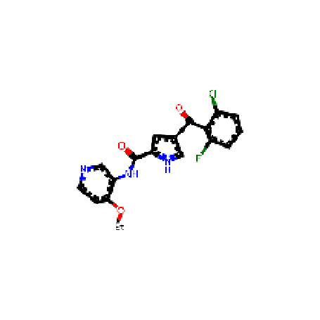 CCOc1ccncc1NC(=O)c1cc(C(=O)c2c(F)cccc2Cl)c[nH]1